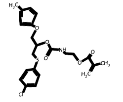 C=C(C)C(=O)OCCNC(=O)OC(COc1ccc(C)cc1)CSc1ccc(Cl)cc1